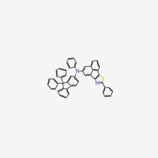 c1ccc(-c2nc3c(s2)-c2cccc4cc(N(c5ccccc5)c5ccc6c(c5)C(c5ccccc5)(c5ccccc5)c5ccccc5-6)cc-3c24)cc1